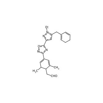 CCn1nc(-c2nc(C3=CC(C)C(CC=O)C(C)=C3)no2)cc1CC1=CCCC=C1